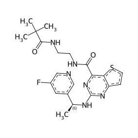 C[C@H](Nc1nc(C(=O)NCCNC(=O)C(C)(C)C)c2sccc2n1)c1cncc(F)c1